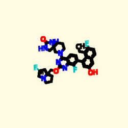 CCc1c(F)ccc2cc(O)cc(-c3ccc4c(N5CCCC6(CNC(=O)N6)C5)nc(OC[C@@]56CCCN5C[C@H](F)C6)nc4c3F)c12